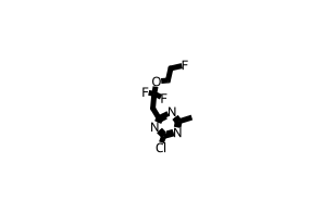 Cc1nc(Cl)nc(CC(F)(F)OCCF)n1